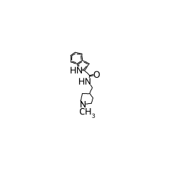 CN1CCC(CNC(=O)c2cc3ccccc3[nH]2)CC1